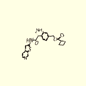 NC[C@@H](C(=O)Nc1cc2ccncc2s1)c1ccc(COC(=O)C2CCC2)cc1